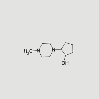 CN1CCN(C2CCCC2O)CC1